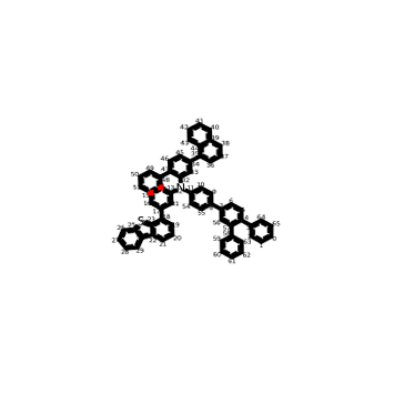 c1ccc(-c2ccc(-c3ccc(N(c4cccc(-c5cccc6c5sc5ccccc56)c4)c4cc(-c5cccc6ccccc56)ccc4-c4ccccc4)cc3)cc2-c2ccccc2)cc1